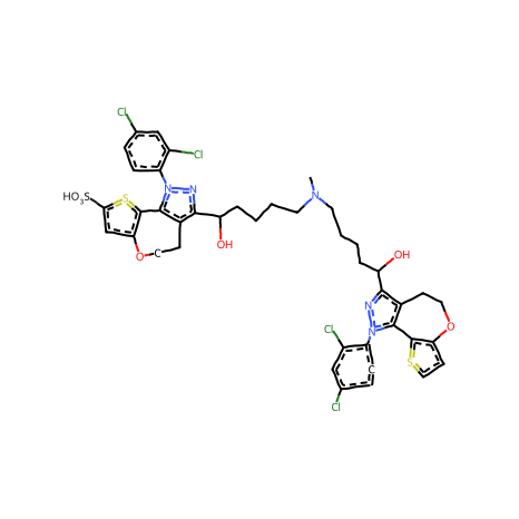 CN(CCCCC(O)c1nn(-c2ccc(Cl)cc2Cl)c2c1CCOc1ccsc1-2)CCCCC(O)c1nn(-c2ccc(Cl)cc2Cl)c2c1CCOc1cc(S(=O)(=O)O)sc1-2